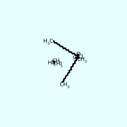 CCCCCCCCCCCCCCCCCC(=O)C(C)(Cl)C(=O)CCCCCCCCCCCCCCCCC.CNC